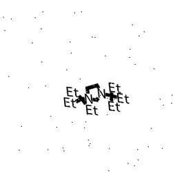 CCC(CC)(CC)N1CCN(C(CC)(CC)CC)C1